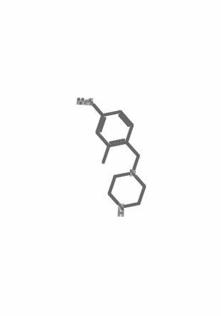 CSc1ccc(CN2CCNCC2)c(C)c1